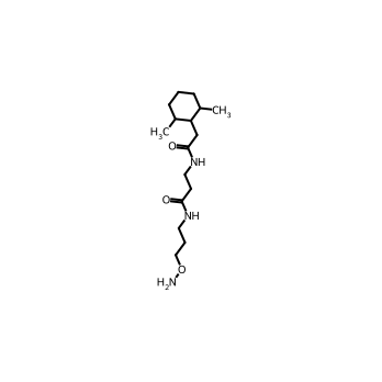 CC1CCCC(C)C1CC(=O)NCCC(=O)NCCCON